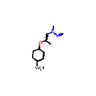 C=NN(C)/C=C(\C)OC1CCC(C(=O)O)CC1